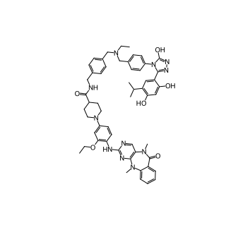 CCOc1cc(N2CCC(C(=O)NCc3ccc(CN(CC)Cc4ccc(-n5c(O)nnc5-c5cc(C(C)C)c(O)cc5O)cc4)cc3)CC2)ccc1Nc1ncc2c(n1)N(C)c1ccccc1C(=O)N2C